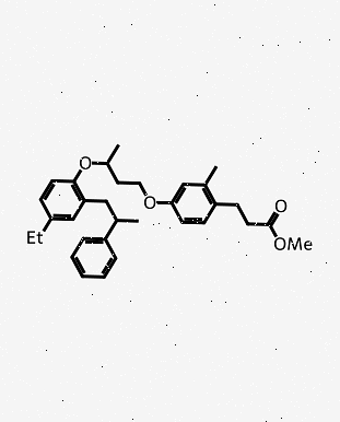 CCc1ccc(OC(C)CCOc2ccc(CCC(=O)OC)c(C)c2)c(CC(C)c2ccccc2)c1